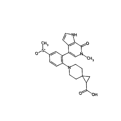 Cn1cc(-c2cc([S+](C)[O-])ccc2N2CCC3(CC2)CC3C(=O)O)c2cc[nH]c2c1=O